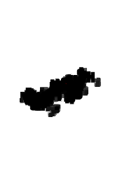 Cc1ncsc1-c1ccc(CNC2OC2[C@@H]2C[C@@H](O)CN2C(=O)[C@@H](NC(=O)COCCC(F)(F)COc2ccc(-c3ncc(N4C(=S)N(c5ccc(C#N)c(C(F)(F)F)c5F)C(=O)C4(C)C)cc3F)c(C(F)(F)F)c2)C(C)(C)C)cc1